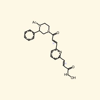 CC(=O)N1CCN(C(=O)/C=C/c2cccc(/C=C/C(=O)NO)n2)CC1c1ccccc1